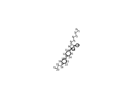 CCCCCCCC1CC(c2ccc(-c3ccc(CCCC)cc3)cc2)OC1=O